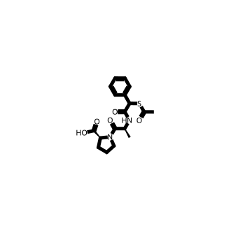 CC(=O)SC(C(=O)N[C@@H](C)C(=O)N1CCC[C@H]1C(=O)O)c1ccccc1